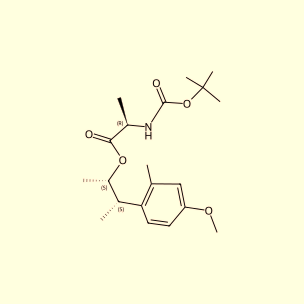 COc1ccc([C@H](C)[C@H](C)OC(=O)[C@@H](C)NC(=O)OC(C)(C)C)c(C)c1